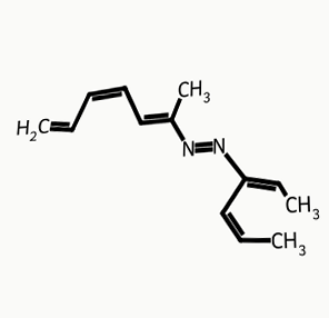 C=C\C=C/C=C(C)/N=N/C(/C=C\C)=C/C